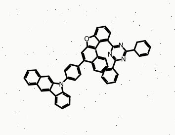 C1=CCC(c2nc(-c3ccccc3)nc(-c3cccc4oc5cc(-c6ccc(-n7c8ccccc8c8cc9ccccc9cc87)cc6)c6ccccc6c5c34)n2)C=C1